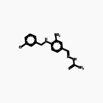 NC(=S)N/N=C/c1ccc(NCc2cccc(Cl)c2)c([N+](=O)[O-])c1